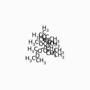 CC(C)OCC(C)OCC(OC(C)(C)COC(C)C)C(OC(C)C)C(OC(C)C)C(COC(C)C)OC(C)C